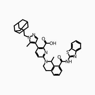 Cc1c(-c2ccc(N3CCc4cccc(C(=O)Nc5nc6ccccc6s5)c4C3C)nc2C(=O)O)cnn1CC12CC3CC(CC(C3)C1)C2